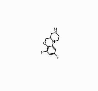 Fc1cc(F)c2c(c1)N1CCNCC1CO2